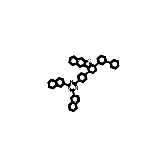 c1ccc(-c2cccc(-c3ccc(-c4ccc(-c5nc(-c6ccc7ccccc7c6)nc(-c6ccc7ccccc7c6)n5)cc4)c4c3oc3cc5ccccc5cc34)c2)cc1